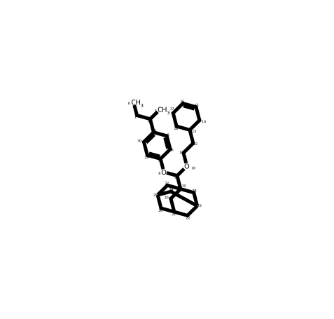 CCC(C)c1ccc(OC(OCCC2CC=CCC2)C23CC4CC(CC(C4)C2)C3)cc1